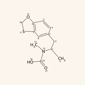 CC(Cc1ccc2c(c1)SCO2)N(C)C(=O)O